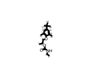 CCNC(=O)OC(C)COc1c(C)cc(C(C)(C)C)cc1C